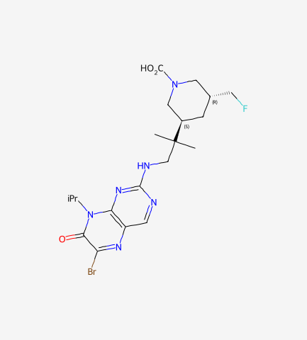 CC(C)n1c(=O)c(Br)nc2cnc(NCC(C)(C)[C@@H]3C[C@@H](CF)CN(C(=O)O)C3)nc21